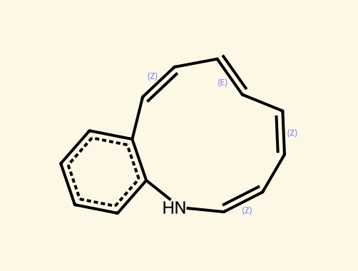 C1=C\C=C\C=C/c2ccccc2N\C=C/1